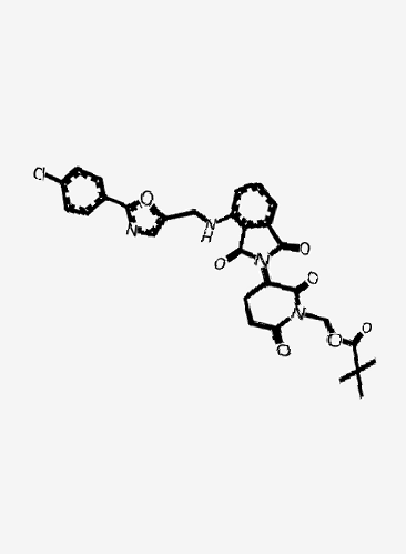 CC(C)(C)C(=O)OCN1C(=O)CCC(N2C(=O)c3cccc(NCc4cnc(-c5ccc(Cl)cc5)o4)c3C2=O)C1=O